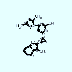 Cc1nc([C@@H]2C[C@H]2c2nc3ccccn3c2C)cc(-n2nc(C)nc2C)n1